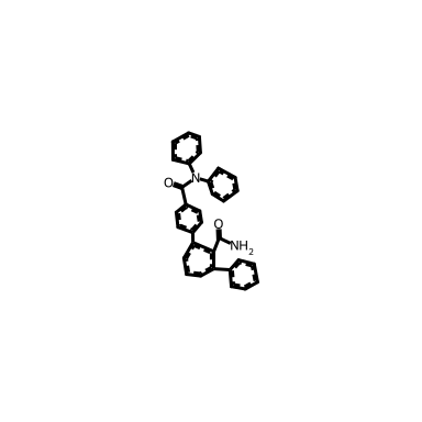 NC(=O)c1c(-c2ccccc2)cccc1-c1ccc(C(=O)N(c2ccccc2)c2ccccc2)cc1